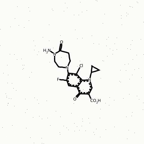 NN1CCN(c2c(F)cc3c(=O)c(C(=O)O)cn(C4CC4)c3c2Cl)CCC1=O